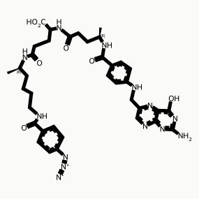 C[C@H](CCCCNC(=O)c1ccc(N=[N+]=[N-])cc1)NC(=O)CCC(NC(=O)CC[C@@H](C)NC(=O)c1ccc(NCc2cnc3nc(N)nc(O)c3n2)cc1)C(=O)O